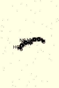 C[C@H](O)C(=O)N1CC[C@H](Oc2ccc(-c3ncnc(Nc4ccc(N5CCN(CC6COC6)CC5)cc4)n3)cc2C#N)[C@@H](F)C1